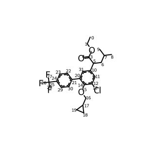 CCOC(=O)C(CC(C)C)c1cc(Cl)c(OCC2CC2)c(-c2ccc(C(F)(F)F)cc2)c1